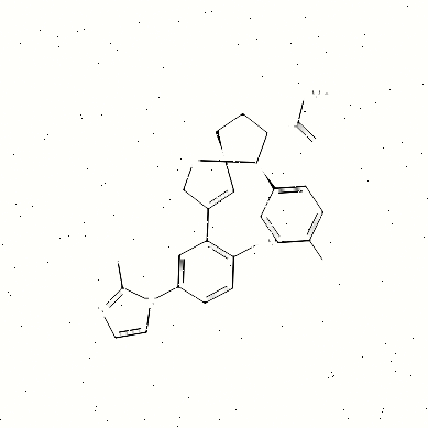 COC(=O)[C@H]1CC[C@]2(C=C(c3cc(-n4ccnc4C(F)(F)F)ccc3OC)CO2)[C@@H]1c1ccc(F)cc1